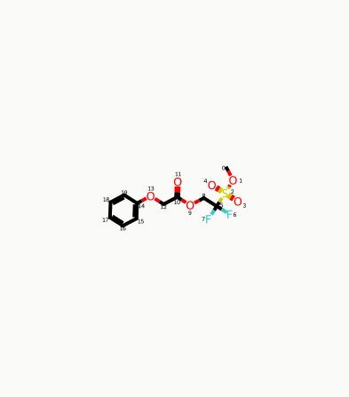 COS(=O)(=O)C(F)(F)COC(=O)COc1ccccc1